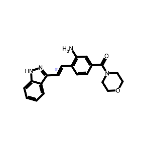 Nc1cc(C(=O)N2CCOCC2)ccc1/C=C/c1n[nH]c2ccccc12